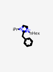 CCCCCC[n+]1ccn(C(C)C)c1Cc1ccccc1